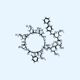 CC(C)C[C@@H]1NC(=O)[C@@H](Cc2ccccc2)NC(=O)[C@H](CCN)NC(=O)[C@@H](NC(=O)[C@H](CCN)NC(=O)[C@@H](NC(=O)[C@H](CCN)OC(=O)Cc2ccc(-c3ccccc3)cc2)C(C)O)CCNC(=O)[C@H]([C@H](C)O)NC(=O)[C@H](CCN)NC(=O)[C@H](CCN)NC1=O